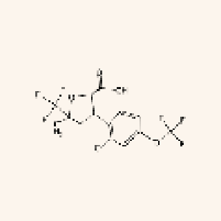 CC1(C(F)(F)F)CC(c2ccc(OC(F)(F)F)cc2Cl)[C@H](C(=O)O)O1